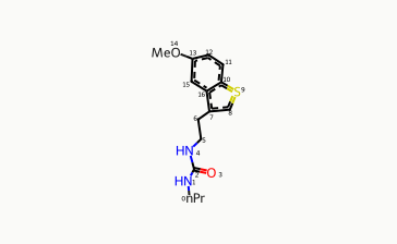 CCCNC(=O)NCCc1csc2ccc(OC)cc12